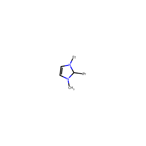 CCN1C=CN(C)C1C(C)C